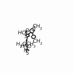 CCN1CCC(c2cc(C#CC(C)(C)NC(=O)c3cscn3)sc2C(=O)O)=C(C2CCC(C)CC2)C1